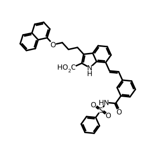 O=C(NS(=O)(=O)c1ccccc1)c1cccc(C=Cc2cccc3c(CCCOc4cccc5ccccc45)c(C(=O)O)[nH]c23)c1